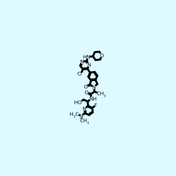 CC(C(=O)NC(CO)c1nc(N(C)C)ccc1F)N1Cc2ccc(-c3nc(NC4CCOCC4)ncc3Cl)cc2C1=O